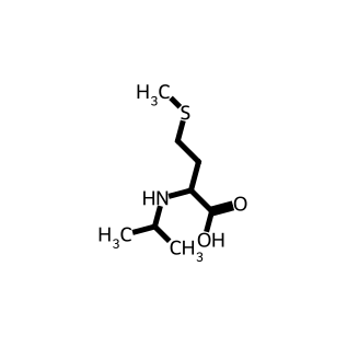 CSCCC(NC(C)C)C(=O)O